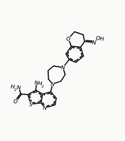 NC(=O)c1sc2nccc(N3CCCN(c4ccc5c(c4)OCCC5=NO)CC3)c2c1N